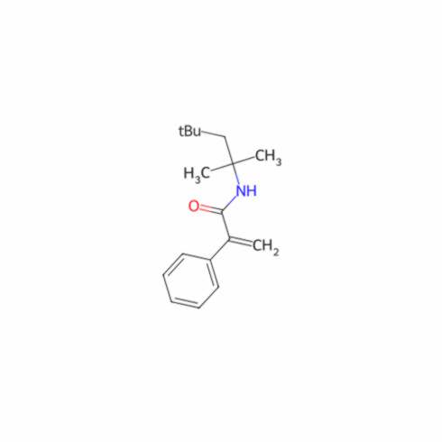 C=C(C(=O)NC(C)(C)CC(C)(C)C)c1ccccc1